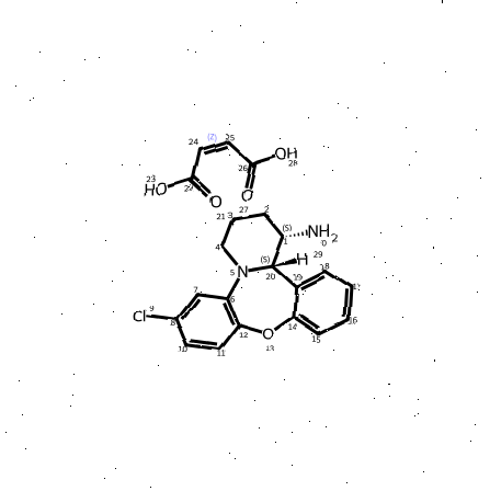 N[C@H]1CCCN2c3cc(Cl)ccc3Oc3ccccc3[C@@H]12.O=C(O)/C=C\C(=O)O